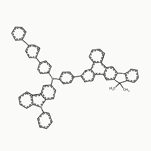 CC1(C)c2ccccc2-c2cc3c4ccccc4c4cc(-c5ccc(N(c6ccc(-c7ccc(-c8ccccc8)cc7)cc6)c6ccc7c(c6)c6ccccc6n7-c6ccccc6)cc5)ccc4c3cc21